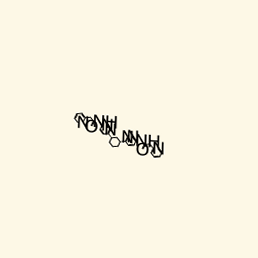 O=C(Cc1ccccn1)Nc1ccc([C@@H]2CCC[C@H](c3ccc(NC(=O)Cc4ccccn4)nn3)C2)nn1